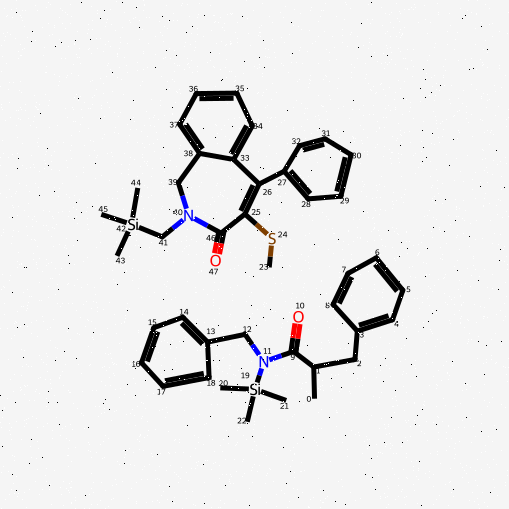 CC(Cc1ccccc1)C(=O)N(Cc1ccccc1)[Si](C)(C)C.CSC1=C(c2ccccc2)c2ccccc2CN(C[Si](C)(C)C)C1=O